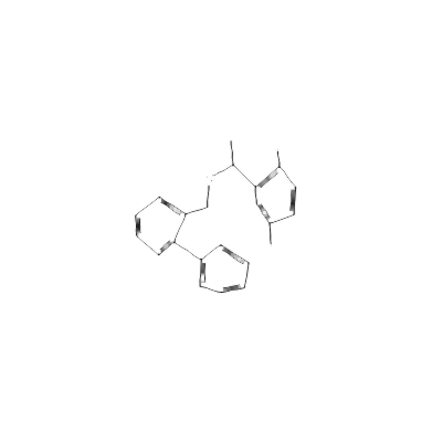 CC(NCc1ccccc1-c1ccccc1)c1cc(Cl)ccc1Cl